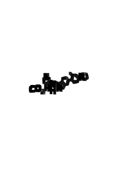 Cc1cc(N2CCCC2)ccc1-c1ccc2c(c1)CN(C)[C@H]2CNc1cnccc1C(=O)O